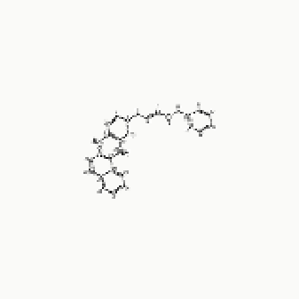 Brc1ccc(CC=NOCc2ccccc2)cc1Nc1ncnc2ccccc12